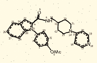 COc1ccc(-n2c(C(=O)NCC3CCN(c4ccncc4)CC3)cc3ccccc32)cc1